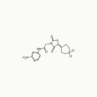 Nc1cc(NC(=O)CN2C(=O)SC(=C3CCC(Cl)(Cl)CC3)C2=O)ccn1